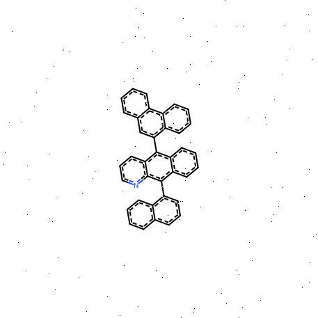 c1ccc2c(-c3c4ccccc4c(-c4cc5ccccc5c5ccccc45)c4cccnc34)cccc2c1